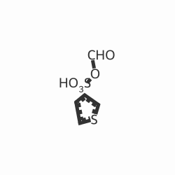 O=COS(=O)(=O)O.c1ccsc1